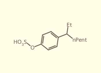 CCCCCC(CC)c1ccc(OS(=O)(=O)O)cc1